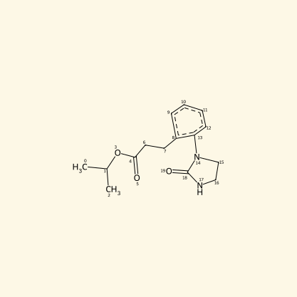 CC(C)OC(=O)CCc1ccccc1N1CCNC1=O